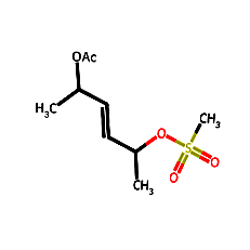 CC(=O)OC(C)C=CC(C)OS(C)(=O)=O